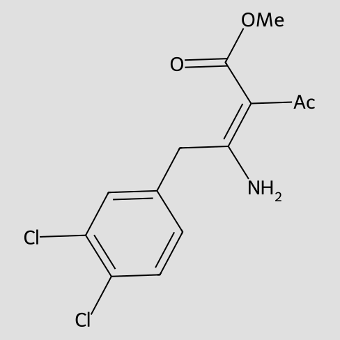 COC(=O)C(C(C)=O)=C(N)Cc1ccc(Cl)c(Cl)c1